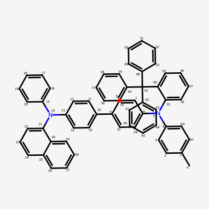 Cc1ccc(N(c2ccc(-c3ccc(N(c4ccccc4)c4cccc5ccccc45)cc3)cc2)c2ccccc2C(c2ccccc2)(c2ccccc2)c2ccccc2)cc1